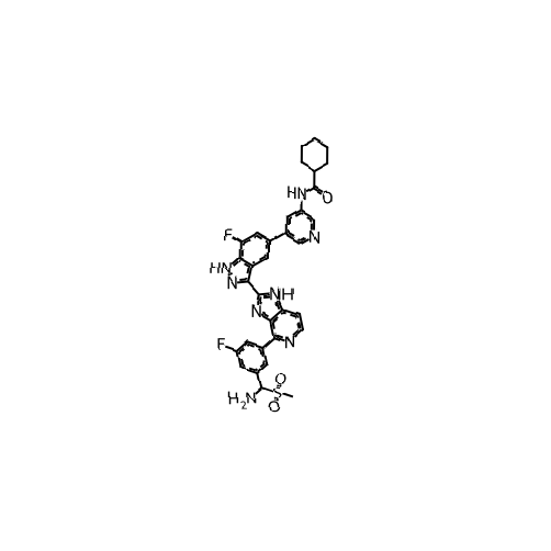 CS(=O)(=O)C(N)c1cc(F)cc(-c2nccc3[nH]c(-c4n[nH]c5c(F)cc(-c6cncc(NC(=O)C7CCCCC7)c6)cc45)nc23)c1